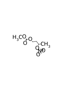 COC(=O)OCCC(C)O[N+](=O)[O-]